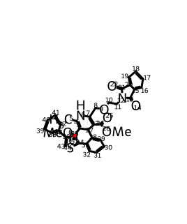 COC(=O)C1=C(C)NC(COCCN2C(=O)c3ccccc3C2=O)=C(C(=O)OC)C1c1ccccc1-c1nc(-c2ccccc2)cs1